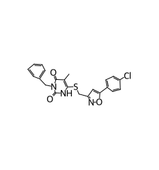 Cc1c(SCc2cc(-c3ccc(Cl)cc3)on2)[nH]c(=O)n(Cc2ccccc2)c1=O